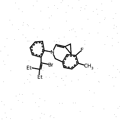 CCC(CC)=C(Br)c1ccccc1N(C=C1CC1)Cc1ccc(C)c(F)c1